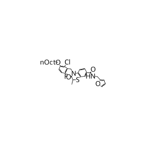 CCCCCCCCOc1ccc(F)c(CN2C(=O)C(C)Sc3cc(C(=O)NCc4ccco4)ccc32)c1Cl